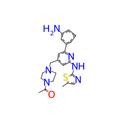 CC(=O)N1CCN(Cc2cc(Nc3ncc(C)s3)nc(-c3cccc(N)c3)c2)CC1